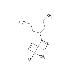 CCCC(CCC)C1=NCC12C=CC2(C)C